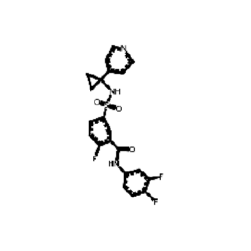 O=C(Nc1ccc(F)c(F)c1)c1cc(S(=O)(=O)NC2(c3ccncc3)CC2)ccc1F